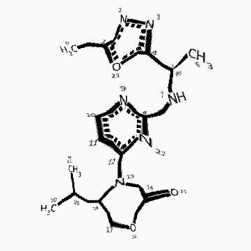 Cc1nnc([C@@H](C)Nc2nccc(N3C(=O)OCC3C(C)C)n2)o1